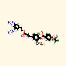 COc1cc(/C=C/C(=O)OCCc2cc(N)cc(N)c2)ccc1OC(=O)c1ccc(OC(F)(F)C(F)F)cc1